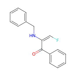 O=C(C(=CF)NCc1ccccc1)c1ccccc1